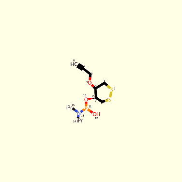 C#CCOC1CSSC[C@H]1OP(O)N(C(C)C)C(C)C